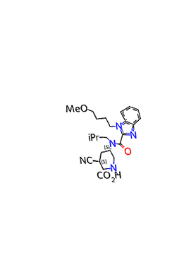 COCCCCn1c(C(=O)N(CC(C)C)[C@H]2C[C@H](C#N)CN(C(=O)O)C2)nc2ccccc21